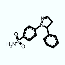 NS(=O)(=O)c1ccc(N2N=CCC2c2ccccc2)cc1